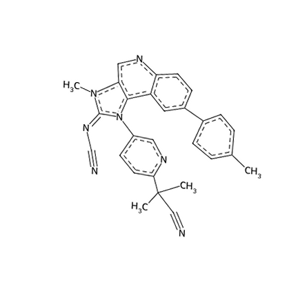 Cc1ccc(-c2ccc3ncc4c(c3c2)n(-c2ccc(C(C)(C)C#N)nc2)/c(=N\C#N)n4C)cc1